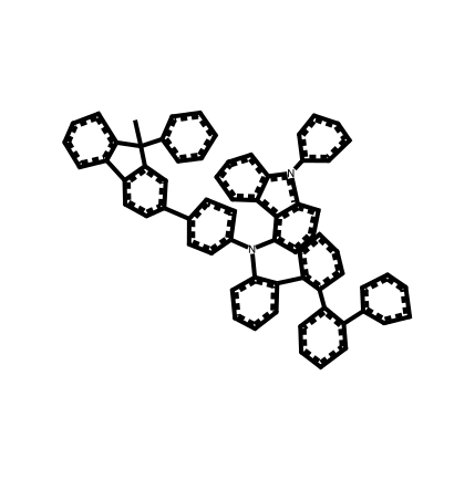 CC1(c2ccccc2)c2ccccc2-c2ccc(-c3ccc(N(c4ccccc4-c4ccccc4-c4ccccc4-c4ccccc4)c4cccc5c4c4ccccc4n5-c4ccccc4)cc3)cc21